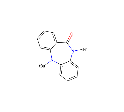 CC(C)N1C(=O)c2ccccc2N(C(C)(C)C)c2ccccc21